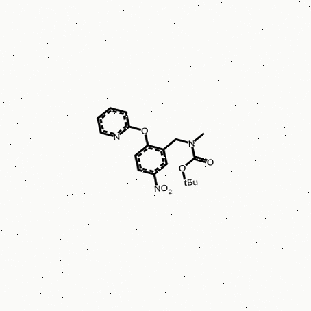 CN(Cc1cc([N+](=O)[O-])ccc1Oc1ccccn1)C(=O)OC(C)(C)C